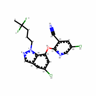 CC(F)(F)CCCn1ncc2cc(Cl)cc(Oc3ncc(Cl)cc3C#N)c21